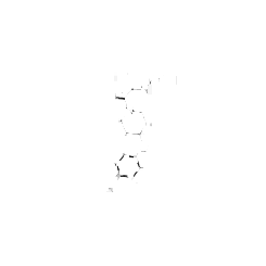 CC(C)[C@H](NC(=O)O)C(=O)N1CCC(Oc2ccc(C(F)(F)F)cc2)CC1